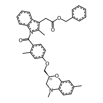 Cc1ccc2c(c1)O[C@H](COc1ccc(C(=O)n3c(C)c(CC(=O)OCc4ccccc4)c4ccccc43)c(C)c1)CN2C